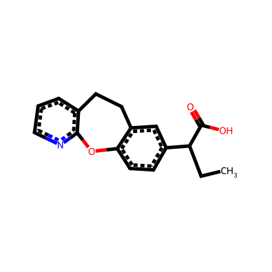 CCC(C(=O)O)c1ccc2c(c1)CCc1cccnc1O2